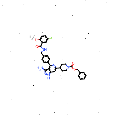 COc1ccc(F)cc1C(=O)NCc1ccc(-c2nc(C3CCN(C(=O)OCc4ccccc4)CC3)cc3[nH]nc(N)c23)cc1